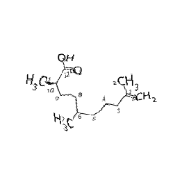 C=C(C)CCCC(C)CC[C@@H](C)C(=O)O